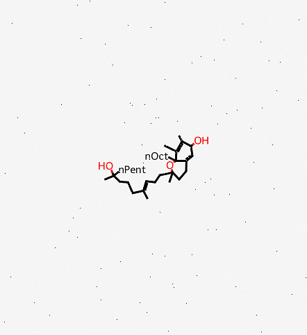 CCCCCCCCC12OC(C)(CC/C=C(\C)CCCC(C)(O)CCCCC)CCC1=CC(O)C(C)=C2C